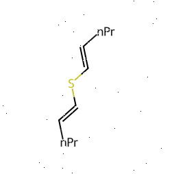 CCCC=CSC=CCCC